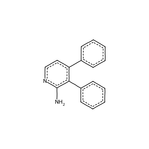 Nc1nccc(-c2ccccc2)c1-c1ccccc1